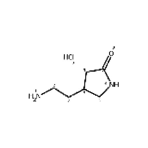 Cl.NCCC1CNC(=O)C1